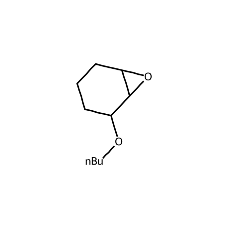 CCCCOC1CCCC2OC12